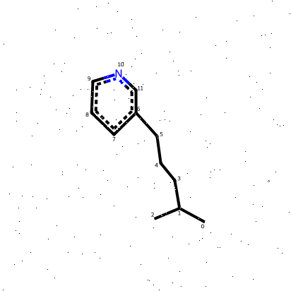 CC(C)CCCc1cccnc1